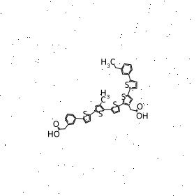 CCc1cccc(-c2ccc(-c3cc(CC(=O)O)c(-c4ccc(-c5sc(-c6ccc(-c7cccc(CC(=O)O)c7)s6)cc5C)s4)s3)s2)c1